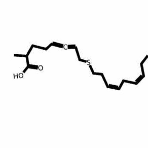 CC/C=C\C/C=C\CCSCC=C=CCCC(C)C(=O)O